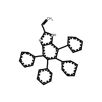 C=Cc1nc2c(-c3ccccc3)c(-c3ccccc3)c(-c3ccccc3)c(-c3ccccc3)c2[nH]1